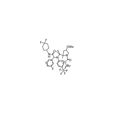 COC1CN(C(=O)OC(C)(C)C)C(C)(C(=O)N(c2ccc(S(F)(F)(F)(F)F)cc2)C(C(=O)NC2CCC(F)(F)CC2)c2cncc(F)c2)C1